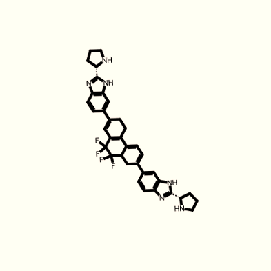 FC1(F)C2=C(CCC(c3ccc4nc([C@@H]5CCCN5)[nH]c4c3)=C2)C2=CC=C(c3ccc4nc([C@@H]5CCCN5)[nH]c4c3)CC2C1(F)F